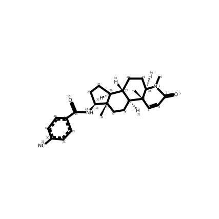 CN1C(=O)C=C[C@]2(C)[C@H]3CC[C@]4(C)[C@@H](NC(=O)c5ccc(C#N)cc5)CC[C@H]4[C@@H]3CC[C@@H]12